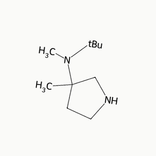 CN(C(C)(C)C)C1(C)CCNC1